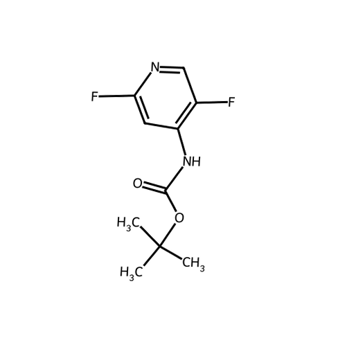 CC(C)(C)OC(=O)Nc1cc(F)ncc1F